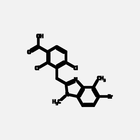 Cc1c(Br)ccc2c1nc(Cc1c(Cl)ccc(C(=O)O)c1Cl)n2C